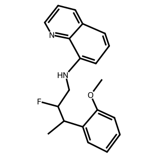 COc1ccccc1C(C)C(F)CNc1cccc2cccnc12